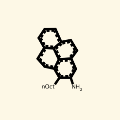 CCCCCCCCc1c(N)cc2ccc3cccc4ccc1c2c34